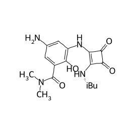 CC[C@@H](C)Nc1c(Nc2cc(N)cc(C(=O)N(C)C)c2O)c(=O)c1=O